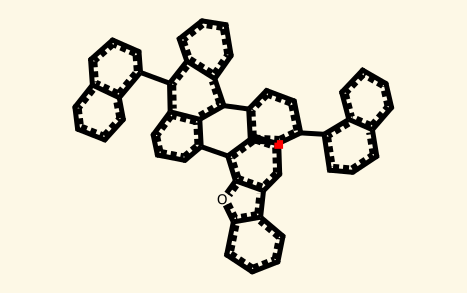 c1ccc2c(-c3ccc(-c4c5ccccc5c(-c5cccc6ccccc56)c5cccc(-c6cccc7c6oc6ccccc67)c45)cc3)cccc2c1